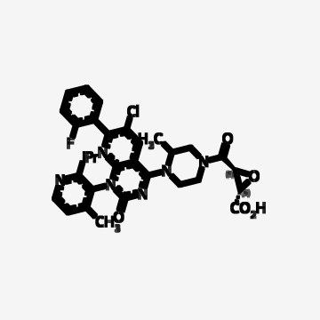 Cc1ccnc(C(C)C)c1-n1c(=O)nc(N2CCN(C(=O)[C@H]3O[C@@H]3C(=O)O)CC2C)c2cc(Cl)c(-c3ccccc3F)nc21